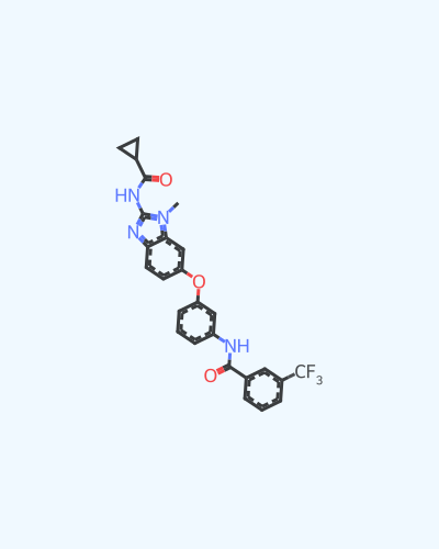 Cn1c(NC(=O)C2CC2)nc2ccc(Oc3cccc(NC(=O)c4cccc(C(F)(F)F)c4)c3)cc21